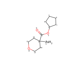 O=C(OC1CCCC1)C1([AsH2])CCOCC1